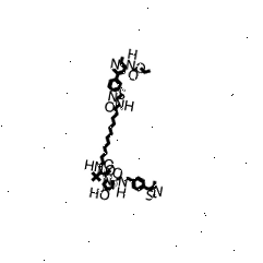 CCOC(=O)Nc1cc(-c2ccc3nc(NC(=O)CCCCCCCCCCC(=O)N[C@H](C(=O)N4C[C@H](O)C[C@H]4C(=O)NCc4ccc(-c5scnc5C)cc4)C(C)(C)C)sc3c2)cnc1C